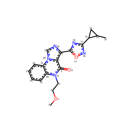 COCCn1c(=O)c2c(-c3nc(C4CC4C)no3)ncn2c2ccccc21